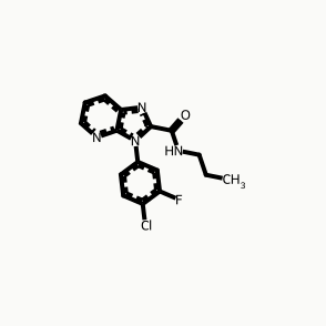 CCCNC(=O)c1nc2cccnc2n1-c1ccc(Cl)c(F)c1